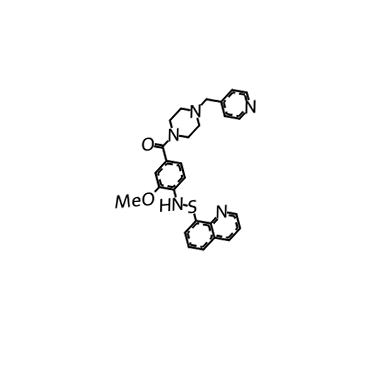 COc1cc(C(=O)N2CCN(Cc3ccncc3)CC2)ccc1NSc1cccc2cccnc12